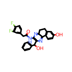 O=C(Cc1ccc(F)c(F)c1)Nc1nc2c(nc1C(O)c1ccccc1)-c1ccc(O)cc1CC2